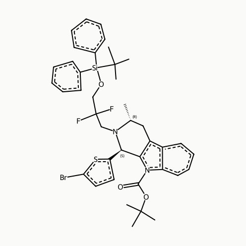 C[C@@H]1Cc2c(n(C(=O)OC(C)(C)C)c3ccccc23)[C@@H](c2ccc(Br)s2)N1CC(F)(F)CO[Si](c1ccccc1)(c1ccccc1)C(C)(C)C